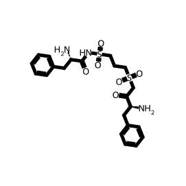 N[C@@H](Cc1ccccc1)C(=O)CS(=O)(=O)CCCS(=O)(=O)NC(=O)[C@@H](N)Cc1ccccc1